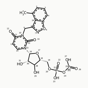 Cc1cccc2onc(Cn3c(=O)ccn([C@@H]4O[C@H](COP(=O)(O)O[PH](=O)O)C(O)[C@@H]4O)c3=O)c12